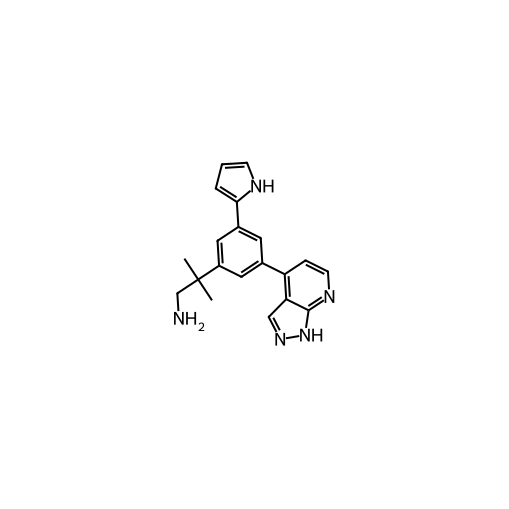 CC(C)(CN)c1cc(-c2ccc[nH]2)cc(-c2ccnc3[nH]ncc23)c1